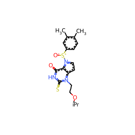 Cc1ccc([S+]([O-])n2ccc3c2c(=O)[nH]c(=S)n3CCOC(C)C)cc1C